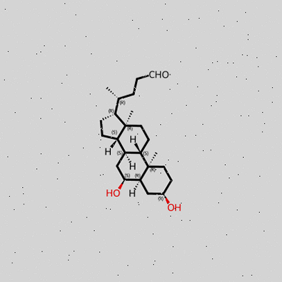 C[C@H](CC[C]=O)[C@H]1CC[C@H]2[C@@H]3C[C@H](O)[C@@H]4C[C@H](O)CC[C@]4(C)[C@H]3CC[C@]12C